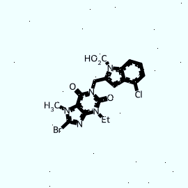 CCn1c(=O)n(Cc2cc3c(Cl)cccc3n2C(=O)O)c(=O)c2c1nc(Br)n2C